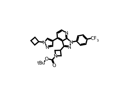 CC(C)(C)OC(=O)N1CC(c2nn(-c3ccc(C(F)(F)F)cc3)c3nccc(-c4cnn(C5CCC5)c4)c23)C1